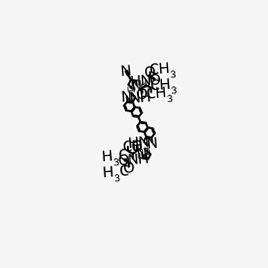 COC(=O)NC(C(=O)N1CCC[C@H]1c1nc2ccc3cc(-c4ccc5c(ccc6nc([C@@H]7CC(C#N)CN7C(=O)[C@@H](NC(=O)OC)C(C)C)[nH]c65)c4)ccc3c2[nH]1)C(C)C